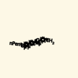 C=CC1CC=C(c2ccc(-c3ccc(-c4ccc(OCCCCC)c(F)c4F)cc3)cc2F)CC1